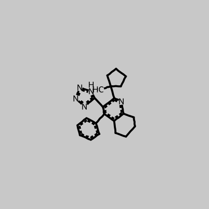 [CH]C1(c2nc3c(c(-c4ccccc4)c2-c2nnn[nH]2)CCCC3)CCCC1